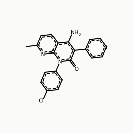 Cc1ccc2c(N)c(-c3ccccc3)c(=O)n(-c3ccc(Cl)cc3)c2n1